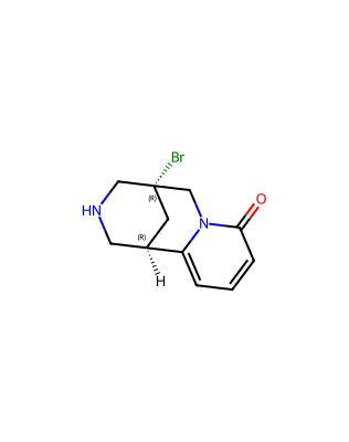 O=c1cccc2n1C[C@]1(Br)CNC[C@H]2C1